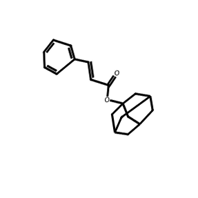 O=C(C=Cc1ccccc1)OC12CC3CC(CC(C3)C1)C2